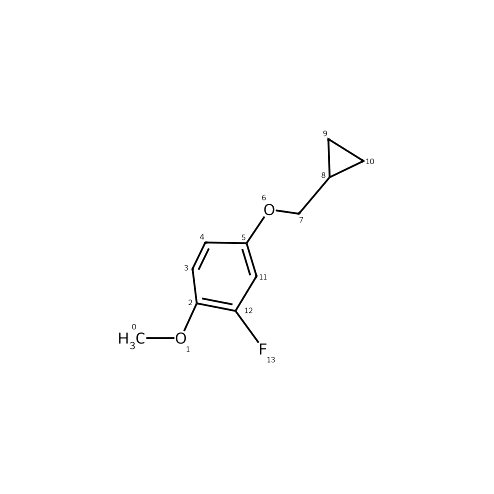 COc1ccc(OCC2CC2)cc1F